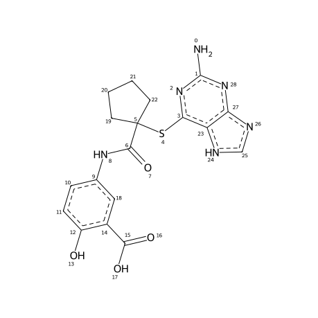 Nc1nc(SC2(C(=O)Nc3ccc(O)c(C(=O)O)c3)CCCC2)c2[nH]cnc2n1